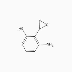 Nc1cccc(S)c1C1CO1